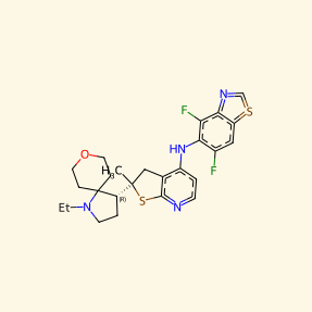 CCN1CC[C@@H](C2(C)Cc3c(Nc4c(F)cc5scnc5c4F)ccnc3S2)C12CCOCC2